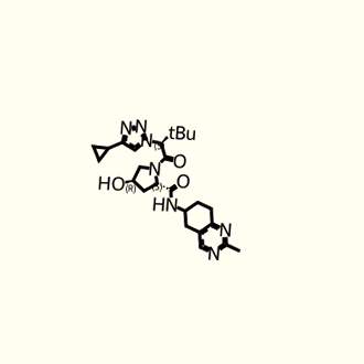 Cc1ncc2c(n1)CCC(NC(=O)[C@@H]1C[C@@H](O)CN1C(=O)[C@@H](n1cc(C3CC3)nn1)C(C)(C)C)C2